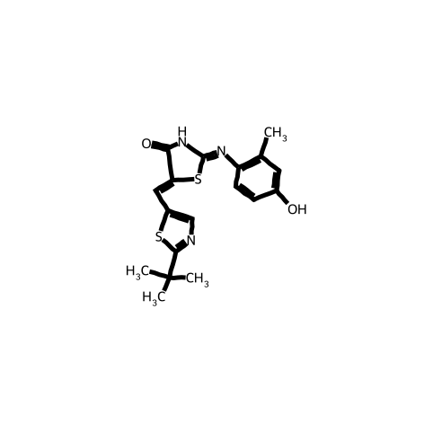 Cc1cc(O)ccc1/N=C1/NC(=O)/C(=C/c2cnc(C(C)(C)C)s2)S1